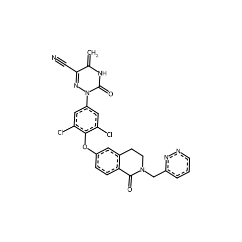 C=C1NC(=O)N(c2cc(Cl)c(Oc3ccc4c(c3)CCN(Cc3cccnn3)C4=O)c(Cl)c2)N=C1C#N